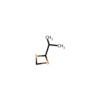 CC(C)C1SCS1